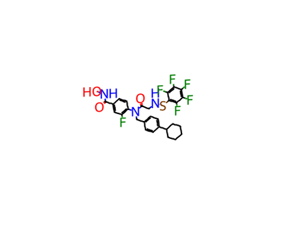 O=C(NO)c1ccc(N(Cc2ccc(C3CCCCC3)cc2)C(=O)CNSc2c(F)c(F)c(F)c(F)c2F)c(F)c1